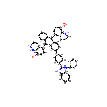 Oc1ccc(-c2c3ccccc3c(-c3ccc(O)c4ncccc34)c3cc(-c4ccc(-c5nc6ccccc6n5-c5ccccc5)cc4)ccc23)c2cccnc12